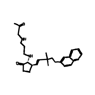 CC(=O)CNCCCN[C@H]1C(=O)CC[C@@H]1/C=C/C(C)(C)CCc1ccc2ccccc2c1